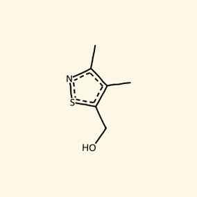 Cc1nsc(CO)c1C